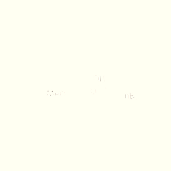 CCCCC1CCC(C(O)OCCCCOC)CC1